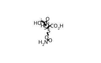 C[C@@H](O)[C@H]1C(=O)N2C(C(=O)O)=C(SCCOC(N)=O)S[C@H]12